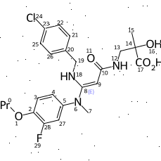 CC(C)Oc1ccc(N(C)/C(=C/C(=O)NCC(C)(O)C(=O)O)NCc2ccc(Cl)cc2)cc1F